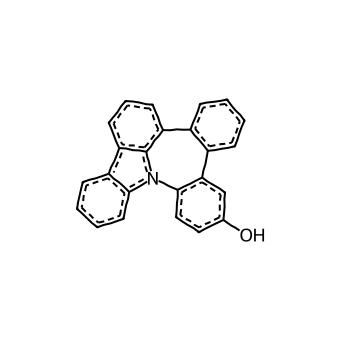 Oc1ccc2c(c1)-c1ccccc1-c1cccc3c4ccccc4n-2c13